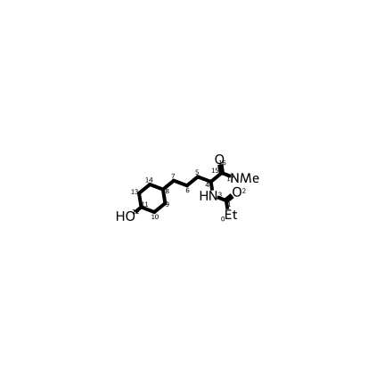 CCC(=O)NC(CCCC1CCC(O)CC1)C(=O)NC